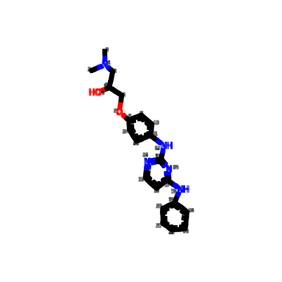 CN(C)CC(O)COc1ccc(Nc2nccc(Nc3ccccc3)n2)cc1